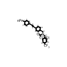 CCCc1ccc(C#Cc2ccc(CN(Cc3ccc(C(F)(F)F)cc3)C(=O)C(=O)OCC)cc2)cc1